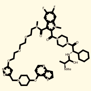 CN[C@@H](C)C(O)N[C@H](C(=O)N1CCN(C(=O)c2c(C(=O)N(C)CCOCCOCCOc3cc(CN4CCC(Oc5ccnc6ccsc56)CC4)on3)c3cc(F)c(F)cc3n2C)CC1)C1CCCCC1